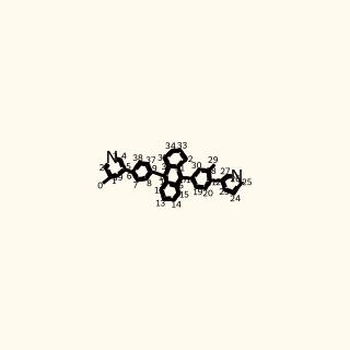 Cc1cncc(-c2ccc(-c3c4ccccc4c(-c4ccc(-c5cccnc5)c(C)c4)c4ccccc34)cc2)c1